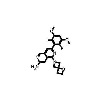 COc1cc(OC)c(F)c(-c2cc3cnc(N)cc3c(N3CC4(CCO4)C3)n2)c1F